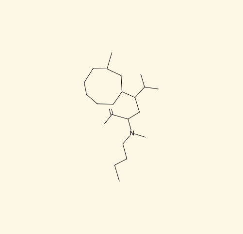 C=C(C)C(CC(C(C)C)C1CCCCCC(C)C1)N(C)CCCC